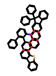 c1ccc(-c2ccccc2-c2c(-c3ccccc3)cccc2N(c2cccc(-c3cccc4c3sc3ccccc34)c2)c2ccc3c(c2)C(c2ccccc2)(c2ccccc2)c2ccccc2-3)cc1